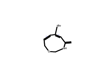 C=C1/C=C(C(C)(C)C)\C=C/COCN1